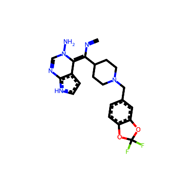 C=N/C(=C1/c2cc[nH]c2N=CN1N)C1CCN(Cc2ccc3c(c2)OC(F)(F)O3)CC1